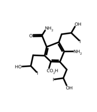 NC(=O)c1c(CC(O)I)c(N)c(CC(O)I)c(C(=O)O)c1CC(O)I